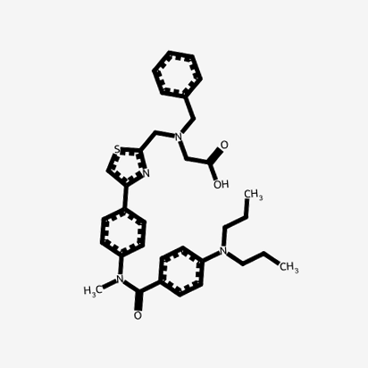 CCCN(CCC)c1ccc(C(=O)N(C)c2ccc(-c3csc(CN(CC(=O)O)Cc4ccccc4)n3)cc2)cc1